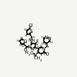 CN(C)c1cc(=O)n(Cc2ccnnc2)cc1-c1nn(C(=O)c2ccco2)c(NCc2ccc(Cl)s2)c1F